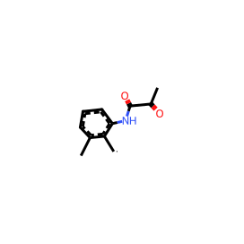 [CH2]c1c(C)cccc1NC(=O)C(C)=O